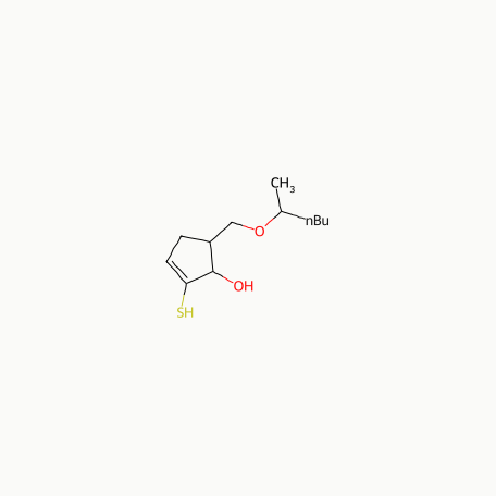 CCCCC(C)OCC1CC=C(S)C1O